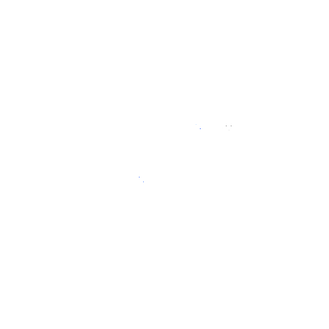 COc1ccc(C(O)CC2C(=O)CN(c3ccc(Cl)cc3)c3ccccc32)cn1